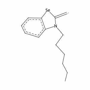 [CH]=C1[Se]c2ccccc2N1CCCCCC